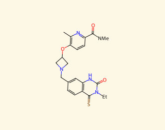 CCn1c(=O)[nH]c2cc(CN3CC(Oc4ccc(C(=O)NC)nc4C)C3)ccc2c1=S